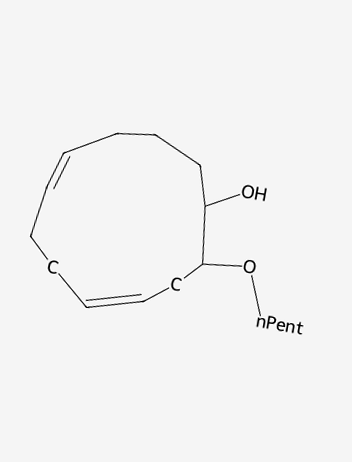 CCCCCOC1CC=CCCC=CCCCC1O